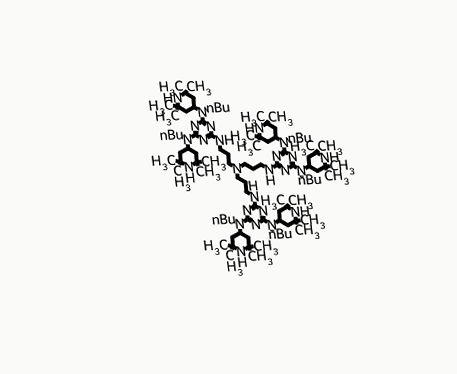 CCCCN(c1nc(NCCCN(CCCNc2nc(N(CCCC)C3CC(C)(C)NC(C)(C)C3)nc(N(CCCC)C3CC(C)(C)NC(C)(C)C3)n2)CCCNc2nc(N(CCCC)C3CC(C)(C)NC(C)(C)C3)nc(N(CCCC)C3CC(C)(C)NC(C)(C)C3)n2)nc(N(CCCC)C2CC(C)(C)NC(C)(C)C2)n1)C1CC(C)(C)NC(C)(C)C1